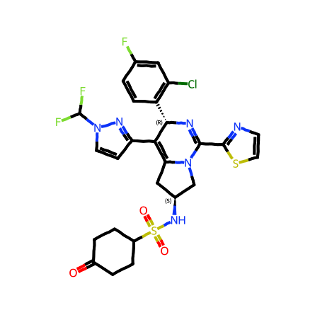 O=C1CCC(S(=O)(=O)N[C@H]2CC3=C(c4ccn(C(F)F)n4)[C@H](c4ccc(F)cc4Cl)N=C(c4nccs4)N3C2)CC1